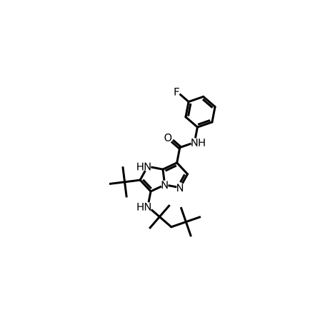 CC(C)(C)CC(C)(C)Nc1c(C(C)(C)C)[nH]c2c(C(=O)Nc3cccc(F)c3)cnn12